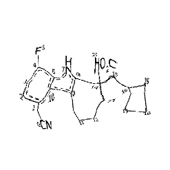 N#Cc1ccc(F)c2[nH]c3c(c12)CCCC3(CC1CCC1)C(=O)O